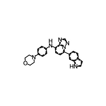 c1nc2c(Nc3ccc(N4CCOCC4)cc3)ccc(-c3ccc4cc[nH]c4c3)n2n1